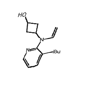 C=CN(c1ncccc1C(C)CC)C1CC(O)C1